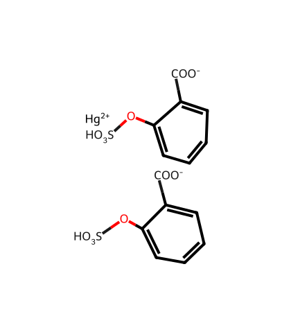 O=C([O-])c1ccccc1OS(=O)(=O)O.O=C([O-])c1ccccc1OS(=O)(=O)O.[Hg+2]